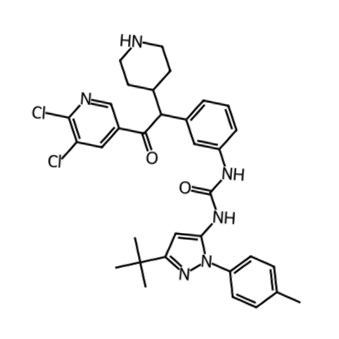 Cc1ccc(-n2nc(C(C)(C)C)cc2NC(=O)Nc2cccc(C(C(=O)c3cnc(Cl)c(Cl)c3)C3CCNCC3)c2)cc1